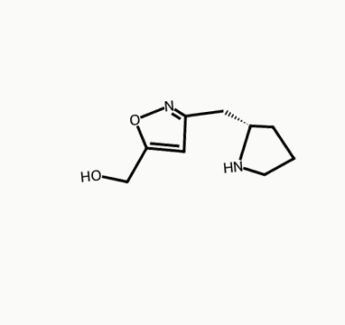 OCc1cc(C[C@@H]2CCCN2)no1